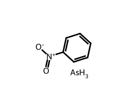 O=[N+]([O-])c1ccccc1.[AsH3]